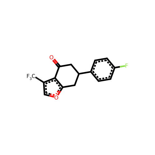 O=C1CC(c2ccc(F)cc2)Cc2occ(C(F)(F)F)c21